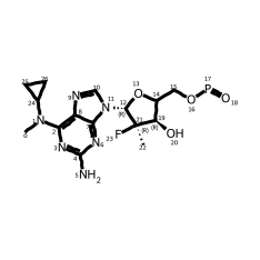 CN(c1nc(N)nc2c1ncn2[C@@H]1OC(COP=O)[C@@H](O)[C@@]1(C)F)C1CC1